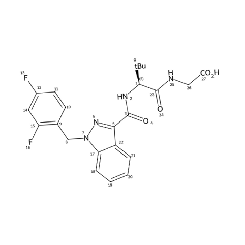 CC(C)(C)[C@H](NC(=O)c1nn(Cc2ccc(F)cc2F)c2ccccc12)C(=O)NCC(=O)O